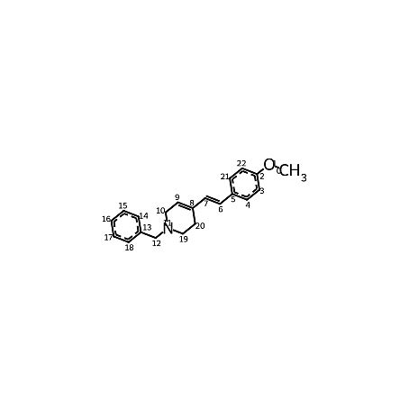 COc1ccc(C=CC2=CCN(Cc3ccccc3)CC2)cc1